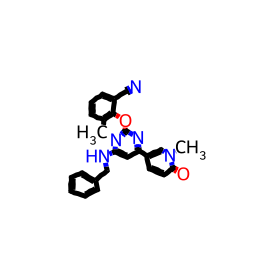 Cc1cccc(C#N)c1Oc1nc(NCc2ccccc2)cc(-c2ccc(=O)n(C)c2)n1